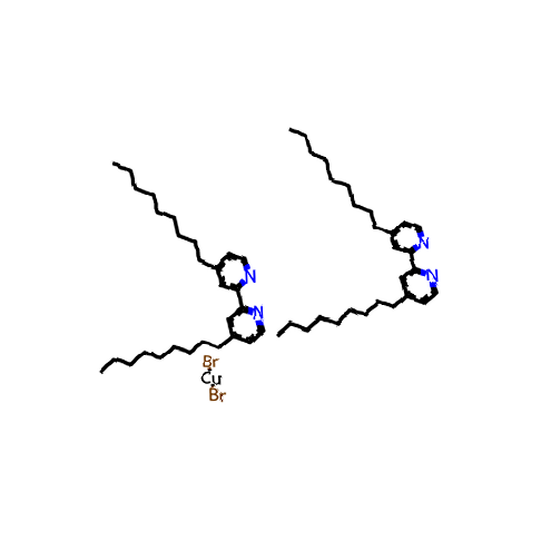 CCCCCCCCCc1ccnc(-c2cc(CCCCCCCCC)ccn2)c1.CCCCCCCCCc1ccnc(-c2cc(CCCCCCCCC)ccn2)c1.[Br][Cu][Br]